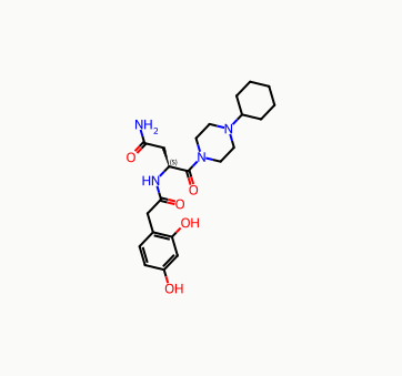 NC(=O)C[C@H](NC(=O)Cc1ccc(O)cc1O)C(=O)N1CCN(C2CCCCC2)CC1